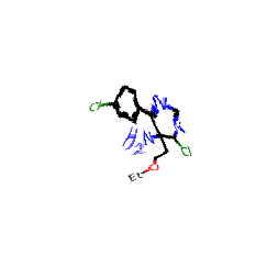 CCOCCC1(N)C(c2ccc(Cl)cc2)=NC=NC1Cl